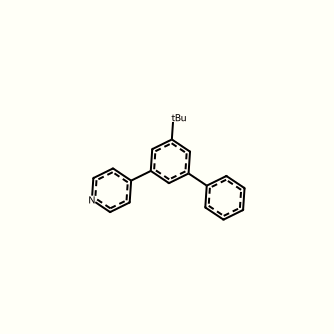 CC(C)(C)c1cc(-c2ccccc2)cc(-c2ccncc2)c1